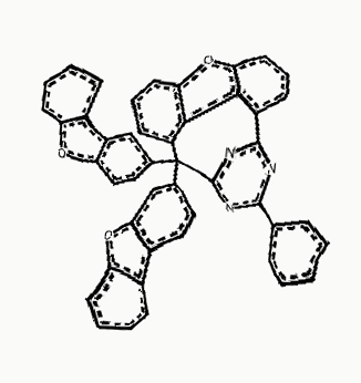 c1ccc(-c2nc3nc(n2)C(c2ccc4c(c2)oc2ccccc24)(c2ccc4oc5ccccc5c4c2)c2cccc4oc5cccc-3c5c24)cc1